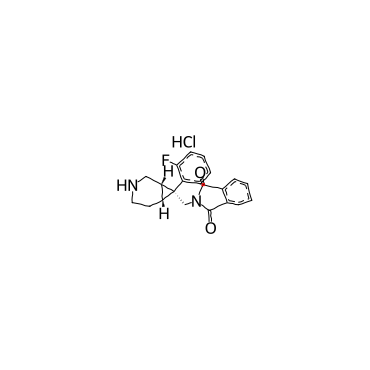 Cl.O=C1c2ccccc2C(=O)N1C[C@]1(c2ccccc2F)[C@@H]2CCNC[C@@H]21